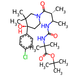 CC(NC(=O)NC(C)(C)C(=O)OC(C)(C)C)[C@@H](C)C(=O)N1CC[C@](O)(c2ccc(Cl)cc2)C(C)(C)C1